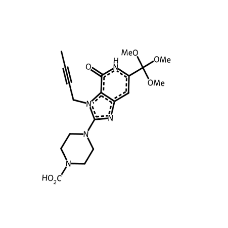 CC#CCn1c(N2CCN(C(=O)O)CC2)nc2cc(C(OC)(OC)OC)[nH]c(=O)c21